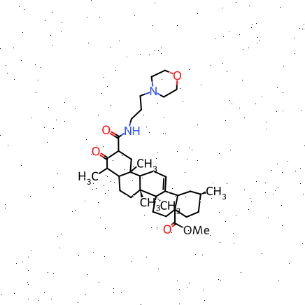 COC(=O)C12CC[C@H](C)CC1C1=CCC3C4(C)CC(C(=O)NCCCN5CCOCC5)C(=O)C(C)C4CC[C@@]3(C)[C@]1(C)CC2